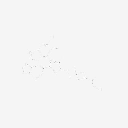 C=CC(=O)N1CC2(CC(n3nc(-c4ccn5ccnc5c4)c(-c4c(Cl)c(C)cc5[nH]ncc45)c3C)C2)C1